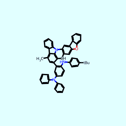 Cc1cc(-c2cc(N(c3ccccc3)c3ccccc3)ccc2Nc2ccc(C(C)(C)C)cc2)c2c3c1c1ccccc1n3-c1cc3c(cc1B2)oc1ccccc13